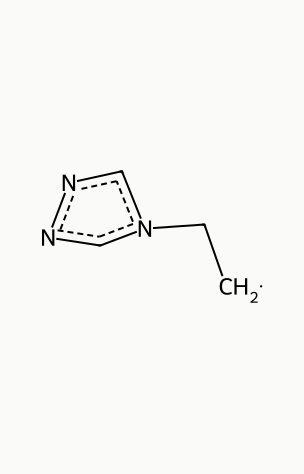 [CH2]Cn1cnnc1